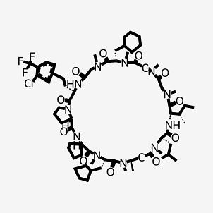 CC[C@H](C)[C@@H]1NC(=O)[C@H](CC(C)C)N(C)C(=O)C[C@@H](C)N(C)C(=O)[C@H](CC2CCCC2)N(C)C(=O)C2(CCCC2)NC(=O)[C@@H]2CCCN2C(=O)[C@H](CCc2ccc(C(F)(F)F)c(Cl)c2)NC(=O)CN(C)C(=O)[C@H](CC2CCCCC2)N(C)C(=O)CN(C)C(=O)CN(C)C1=O